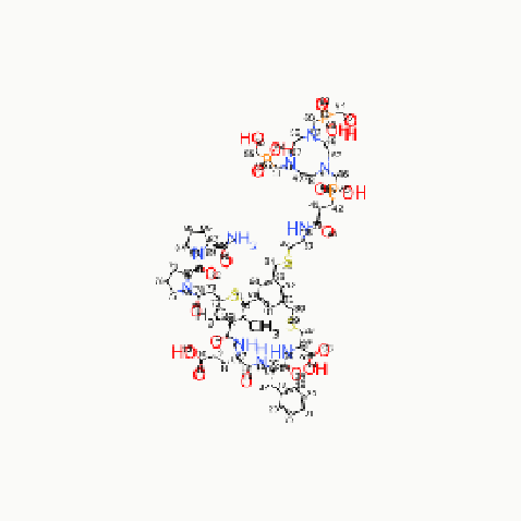 CC[C@H](C)C(=O)N[C@@H](CCC(=O)O)C(=O)N[C@@H](Cc1ccccc1)C(=O)NC(CSCc1cc(CSCCNC(=O)CCP(=O)(O)CN2CCN(CP(=O)(O)CO)CCN(CP(=O)(O)CO)CC2)cc(CSCCC(=O)N2CCC[C@H]2C(=O)N2CCC[C@H]2C(N)=O)c1)C(=O)O